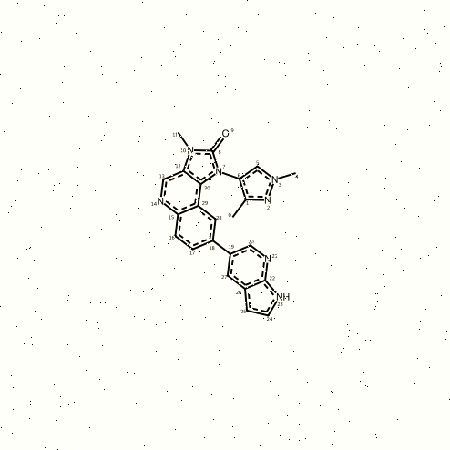 Cc1nn(C)cc1-n1c(=O)n(C)c2cnc3ccc(-c4cnc5[nH]ccc5c4)cc3c21